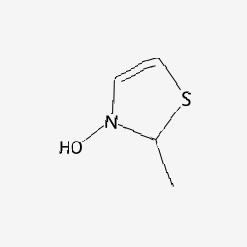 CC1SC=CN1O